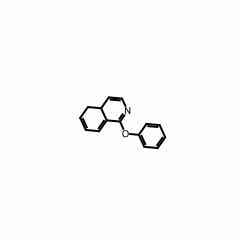 C1=CCC2C=CN=C(Oc3ccccc3)C2=C1